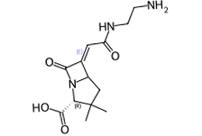 CC1(C)CC2/C(=C\C(=O)NCCN)C(=O)N2[C@H]1C(=O)O